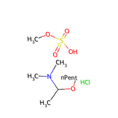 CCCCCOC(C)N(C)C.COS(=O)(=O)O.Cl